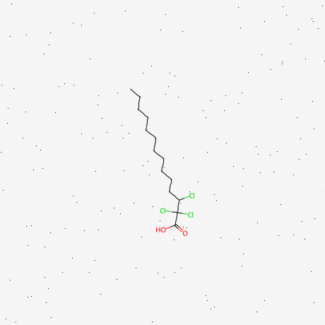 CCCCCCCCCCCC(Cl)C(Cl)(Cl)C(=O)O